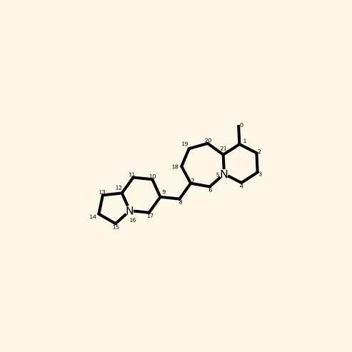 CC1CCCN2CC(CC3CCC4CCCN4C3)CCCC12